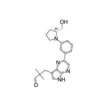 CC(C)(C=O)Cc1c[nH]c2ncc(-c3cccc(N4CCC[C@@H]4CO)c3)nc12